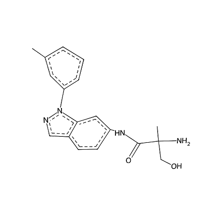 Cc1cccc(-n2ncc3ccc(NC(=O)C(C)(N)CO)cc32)c1